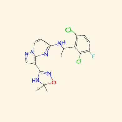 CC(Nc1ccn2ncc(C3=NOC(C)(C)N3)c2n1)c1c(Cl)ccc(F)c1Cl